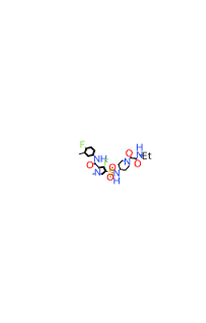 CCNC(=O)C(=O)N1CCC(NS(=O)(=O)c2cn(C)c(C(=O)Nc3ccc(F)c(C)c3)c2F)CC1